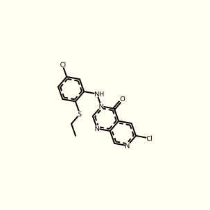 CCSc1ccc(Cl)cc1Nn1cnc2cnc(Cl)cc2c1=O